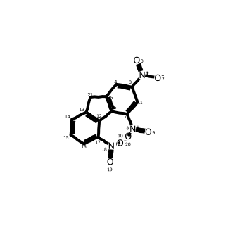 O=[N+]([O-])c1cc2c(c([N+](=O)[O-])c1)-c1c(cccc1[N+](=O)[O-])C2